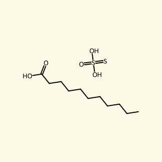 CCCCCCCCCCC(=O)O.O=S(O)(O)=S